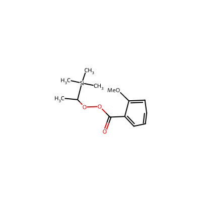 COc1ccccc1C(=O)OOC(C)[Si](C)(C)C